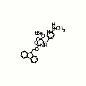 CBc1ccc(C[C@H](NC(=O)OCC2c3ccccc3-c3ccccc32)C(=O)OC(C)(C)C)cn1